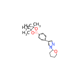 CC1(C)OB(c2ccc(-c3cnn(C4CCCCO4)c3)cc2)OC1(C)C